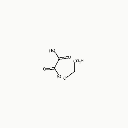 O=C(O)C(=O)O.O=C(O)CCl